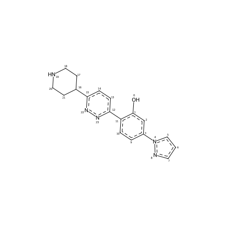 Oc1cc(-n2cccn2)ccc1-c1ccc(C2CCNCC2)nn1